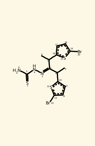 CC(C(=NNC(N)=S)C(C)c1ccc(Br)s1)c1ccc(Br)s1